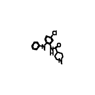 CN1CCC(C(=O)Nc2cc(Cl)ccc2N(C)c2ccccc2)CC1